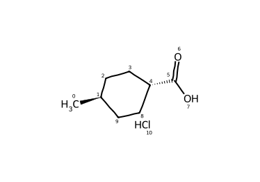 C[C@H]1CC[C@H](C(=O)O)CC1.Cl